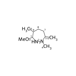 COC1NN(C)C(C)CCC1C